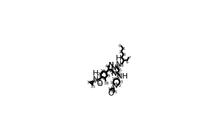 CCCCCC(CC)CNc1cc(NC2CCN(C3COC3)CC2)nc2c(-c3ccc(C(=O)NC4CC4)c(C)c3)cnn12